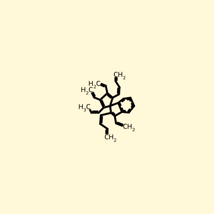 C=C/C=C\C1=C(C=C)C(C=C)=C(/C=C\C)C12C(/C=C\C=C)=C(C=C)c1ccccc12